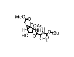 COC(=O)C[C@H]1[C@H]2[C@@H]1[C@](NC(=O)[C@H](C)NC(=O)OC(C)(C)C)(OC(C)=O)C[C@@H]2O